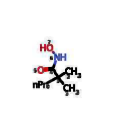 CCCC(C)(C)C(=O)NO